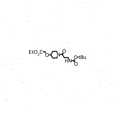 CCOC(=O)COC1CCN(C(=O)CCNC(=O)OC(C)(C)C)CC1